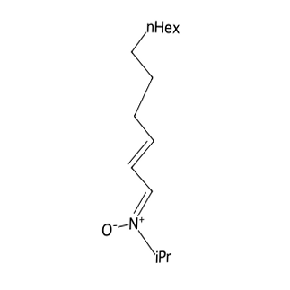 CCCCCCCCC/C=C/C=[N+](\[O-])C(C)C